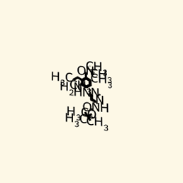 Cc1cc(Nc2cc(NC(=O)OC(C)(C)C)ncn2)c(N)c(CC(C)C)c1C(=O)N(C)C